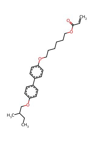 C=CC(=O)OCCCCCCOc1ccc(-c2ccc(OCC(C)CC)cc2)cc1